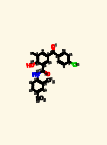 Cc1cc(C(=O)c2ccc(Cl)cc2)cc(C(=O)Nc2ccc([N+](=O)[O-])cc2C(F)(F)F)c1O